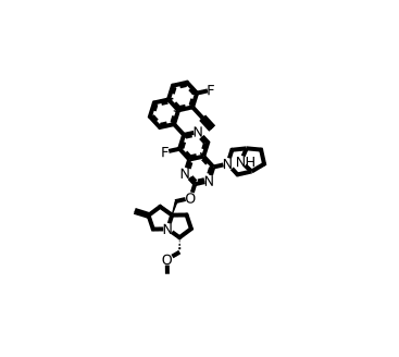 C#Cc1c(F)ccc2cccc(-c3ncc4c(N5CC6CCC(C5)N6)nc(OC[C@@]56CC[C@H](COC)N5CC(=C)C6)nc4c3F)c12